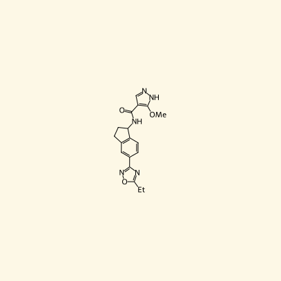 CCc1nc(-c2ccc3c(c2)CCC3NC(=O)c2cn[nH]c2OC)no1